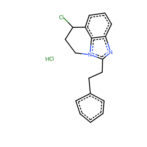 Cl.ClC1CCn2c(CCc3ccccc3)nc3cccc1c32